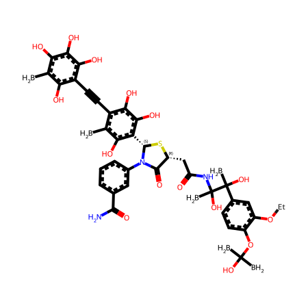 Bc1c(O)c(O)c(O)c(C#Cc2c(B)c(O)c([C@@H]3S[C@H](CC(=O)NC(B)(O)C(B)(O)c4ccc(OC(B)(B)O)c(OCC)c4)C(=O)N3c3cccc(C(N)=O)c3)c(O)c2O)c1O